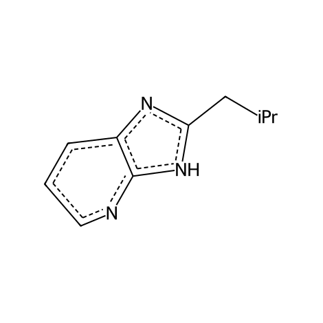 CC(C)Cc1nc2cccnc2[nH]1